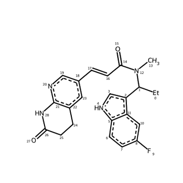 CCC(c1c[nH]c2ccc(F)cc12)N(C)C(=O)C=Cc1cnc2c(c1)CCC(=O)N2